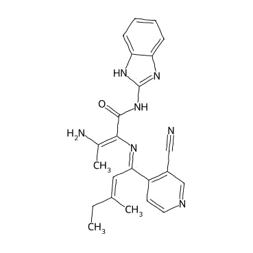 CC/C(C)=C/C(=N\C(C(=O)Nc1nc2ccccc2[nH]1)=C(/C)N)c1ccncc1C#N